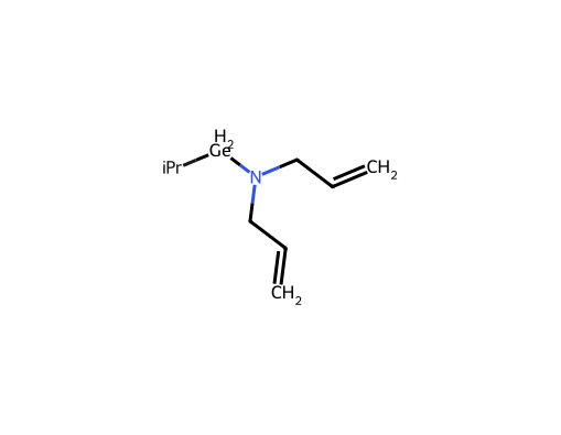 C=CC[N](CC=C)[GeH2][CH](C)C